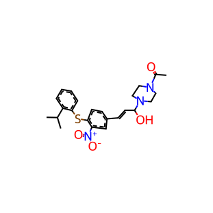 CC(=O)N1CCN(C(O)/C=C/c2ccc(Sc3ccccc3C(C)C)c([N+](=O)[O-])c2)CC1